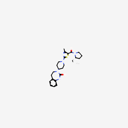 COC[C@@H]1CCCN1C(=O)c1sc(N2CCC(N3CCc4ccccc4NC3=O)CC2)nc1C